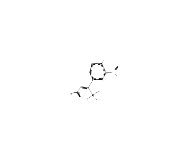 CC(C)(C)/C(=C\C(=O)O)c1ccc(F)c([N+](=O)[O-])c1